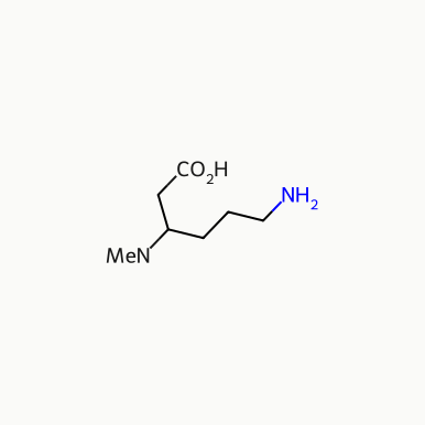 CNC(CCCN)CC(=O)O